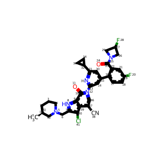 C[C@H]1CCCN(Cc2[nH]c3c(=O)n(-c4cc(-c5ccc(F)cc5C(=O)N5CC(F)C5)cc(C5CC5)n4)cc(C#N)c3c2Cl)C1